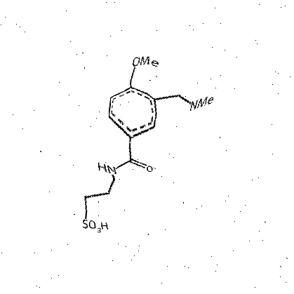 CNCc1cc(C(=O)NCCS(=O)(=O)O)ccc1OC